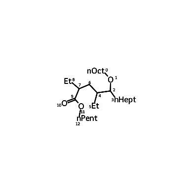 CCCCCCCCOC(CCCCCCC)C(CC)CC(CC)C(=O)OCCCCC